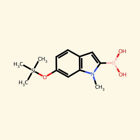 Cn1c(B(O)O)cc2ccc(O[Si](C)(C)C)cc21